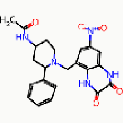 CC(=O)NC1CCN(Cc2cc([N+](=O)[O-])cc3[nH]c(=O)c(=O)[nH]c23)C(c2ccccc2)C1